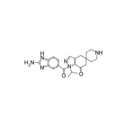 CC(C)[N+]1(C(=O)c2ccc3[nH]c(N)nc3c2)N=CC2=C1C(=O)CC1(CCNCC1)C2